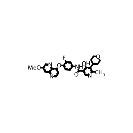 COc1cnc2c(Oc3ccc(NC(=O)c4cnc(C)c(C5=CCOCC5)c4O)cc3F)ccnc2c1